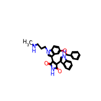 CNCCCn1cc(C2=C(c3c[nH]c4ccccc34)C(=O)NC2=O)c2cc(OCc3ccccc3)ccc21